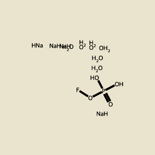 O.O.O.O.O.O.O=P(O)(O)OF.[NaH].[NaH].[NaH].[NaH]